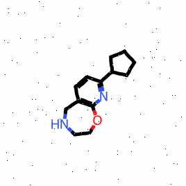 c1cc2c(nc1C1CCCC1)OCCNC2